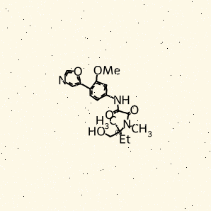 CC[C@](C)(CO)N(C)C(=O)C(=O)Nc1ccc(-c2cnco2)c(OC)c1